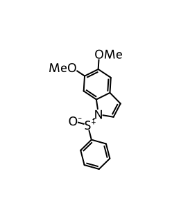 COc1cc2ccn([S+]([O-])c3ccccc3)c2cc1OC